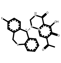 CC(=O)c1cn2c(c(O)c1=O)C(=O)NCN2[C@H]1c2ccc(F)cc2CSc2ccccc21